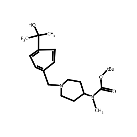 CN(C(=O)OC(C)(C)C)C1CCN(Cc2ccc(C(O)(C(F)(F)F)C(F)(F)F)cc2)CC1